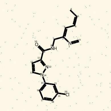 C=N/C(=C\C=C/C)CNC(=O)c1ccn(-c2cccc(Cl)c2)n1